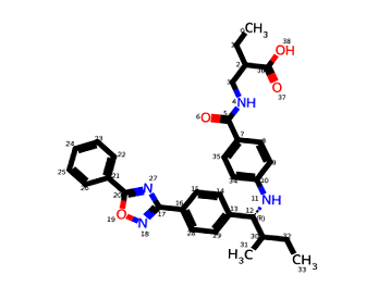 CCC(CNC(=O)c1ccc(N[C@@H](c2ccc(-c3noc(-c4ccccc4)n3)cc2)C(C)CC)cc1)C(=O)O